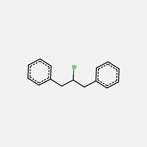 BrC(Cc1ccccc1)Cc1ccccc1